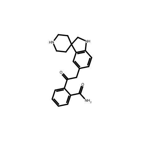 NC(=O)c1ccccc1C(=O)Cc1ccc2c(c1)C1(CCNCC1)CN2